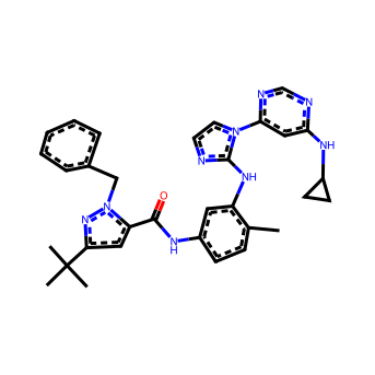 Cc1ccc(NC(=O)c2cc(C(C)(C)C)nn2Cc2ccccc2)cc1Nc1nccn1-c1cc(NC2CC2)ncn1